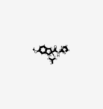 COc1ccc2c(c1)[C@@H](CC(C)C)[C@@](C)(C(=O)Nc1nccs1)C2